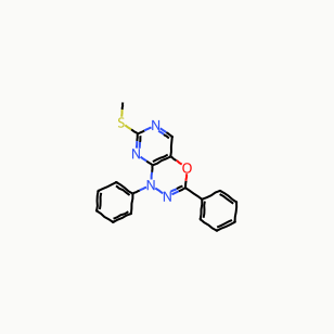 CSc1ncc2c(n1)N(c1ccccc1)N=C(c1ccccc1)O2